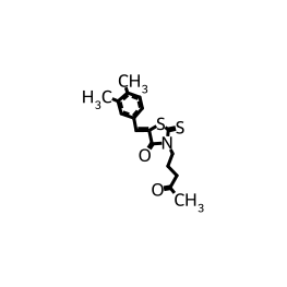 CC(=O)CCCN1C(=O)/C(=C/c2ccc(C)c(C)c2)SC1=S